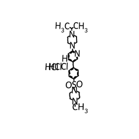 CC(C)N1CCN(c2ccc(-c3ccc(S(=O)(=O)N4CCN(C)CC4)cc3)cn2)CC1.Cl.Cl.Cl